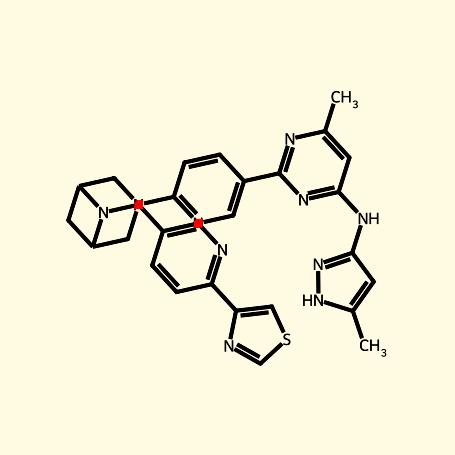 Cc1cc(Nc2cc(C)[nH]n2)nc(-c2ccc(N3CC4CC(C3)N4Cc3ccc(-c4cscn4)nc3)nc2)n1